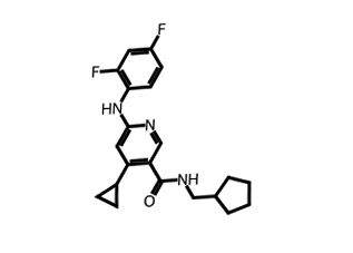 O=C(NCC1CCCC1)c1cnc(Nc2ccc(F)cc2F)cc1C1CC1